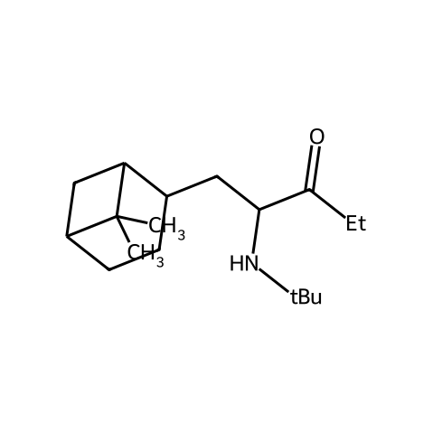 CCC(=O)C(CC1CCC2CC1C2(C)C)NC(C)(C)C